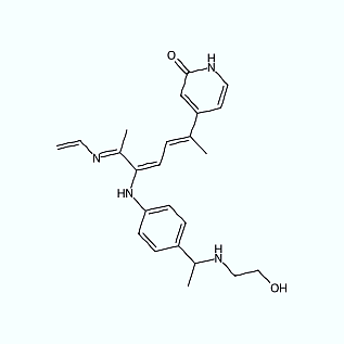 C=C/N=C(C)/C(=C\C=C(/C)c1cc[nH]c(=O)c1)Nc1ccc(C(C)NCCO)cc1